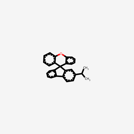 CC(C)c1ccc2c(c1)C1(c3ccccc3Oc3ccccc31)c1ccccc1-2